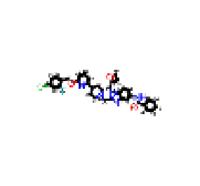 O=C(Nc1ccc2c(c1)nc(CN1CCC(c3cccc(OCc4ccc(Cl)cc4F)n3)CC1)n2C[C@@H]1CCO1)c1ccccc1